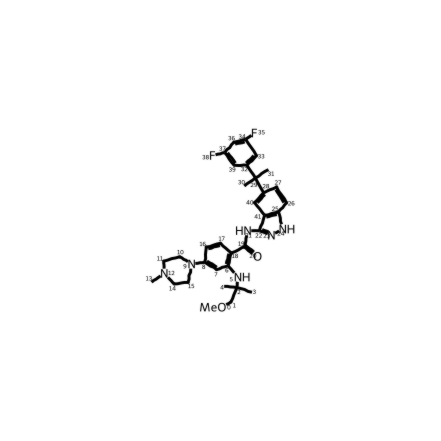 COCC(C)(C)Nc1cc(N2CCN(C)CC2)ccc1C(=O)Nc1n[nH]c2ccc(C(C)(C)c3cc(F)cc(F)c3)cc12